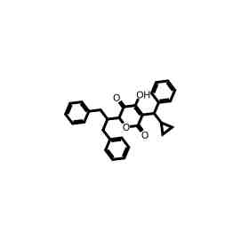 O=C1OC(C(Cc2ccccc2)Cc2ccccc2)C(=O)C(O)=C1C(c1ccccc1)C1CC1